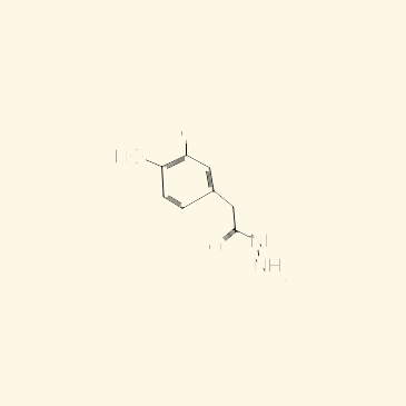 NNC(=O)Cc1ccc(O)c(Cl)c1